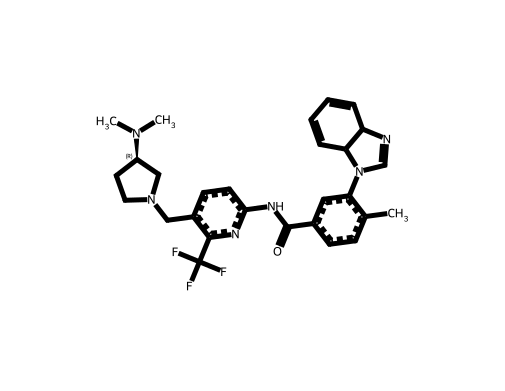 Cc1ccc(C(=O)Nc2ccc(CN3CC[C@@H](N(C)C)C3)c(C(F)(F)F)n2)cc1N1C=NC2C=CC=CC21